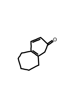 O=C1C=CC2=C(CCCCC2)C1